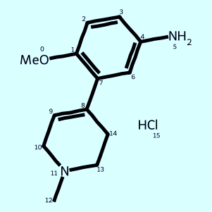 COc1ccc(N)cc1C1=CCN(C)CC1.Cl